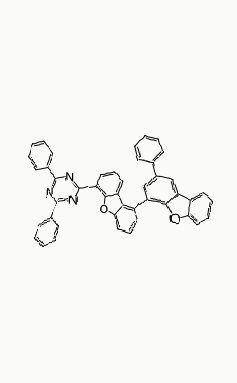 c1ccc(-c2cc(-c3cccc4oc5c(-c6nc(-c7ccccc7)nc(-c7ccccc7)n6)cccc5c34)c3oc4ccccc4c3c2)cc1